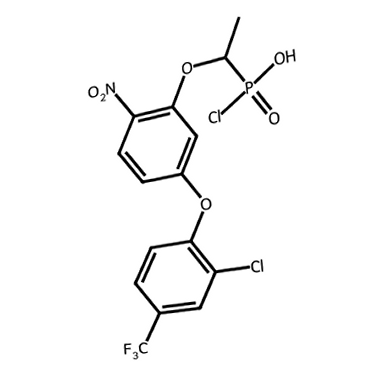 CC(Oc1cc(Oc2ccc(C(F)(F)F)cc2Cl)ccc1[N+](=O)[O-])P(=O)(O)Cl